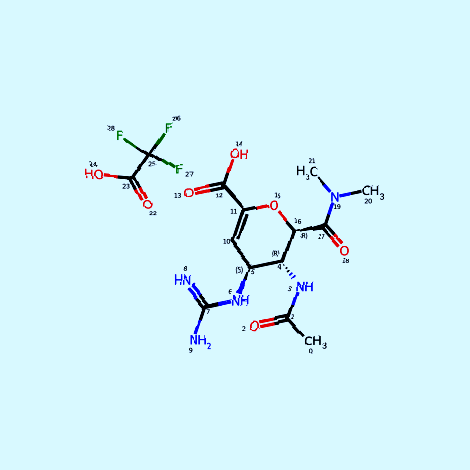 CC(=O)N[C@@H]1[C@@H](NC(=N)N)C=C(C(=O)O)O[C@H]1C(=O)N(C)C.O=C(O)C(F)(F)F